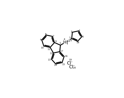 C1=CC[C]([Hf+2][CH]2c3ccccc3-c3ccccc32)=C1.[Cl-].[Cl-]